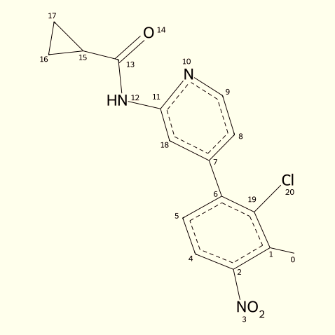 Cc1c([N+](=O)[O-])ccc(-c2ccnc(NC(=O)C3CC3)c2)c1Cl